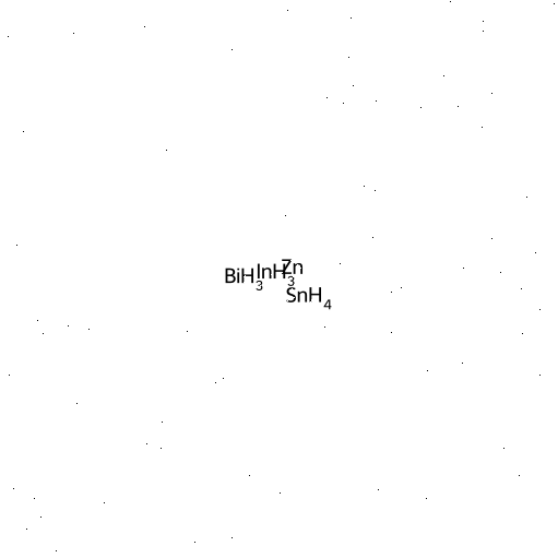 [BiH3].[InH3].[SnH4].[Zn]